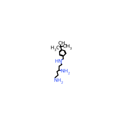 CC(C)(C)c1ccc(CNCCC(N)CCCN)cc1